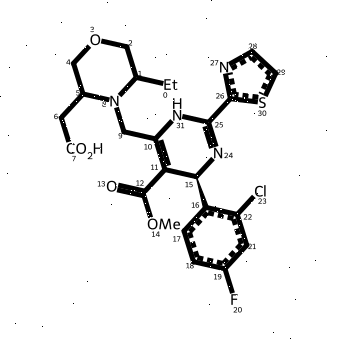 CCC1COCC(CC(=O)O)N1CC1=C(C(=O)OC)[C@H](c2ccc(F)cc2Cl)N=C(c2nccs2)N1